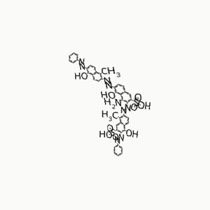 Cc1c(N=Nc2ccc3cc(S(=O)(=O)O)c(N=Nc4ccc5c(O)c(N=Nc6ccccc6)c(S(=O)(=O)O)cc5c4C)c(N)c3c2O)ccc2c(O)c(N=Nc3ccccc3)ccc12